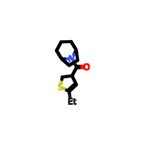 CCC1=CC(C(=O)N2C3CCCC2CC3)CS1